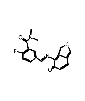 CN(C)C(=O)c1cc(/C=N/C2=C3COC=C3C=CC2=O)ccc1F